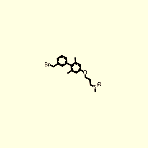 Cc1cc(OCCC[S+](C)[O-])cc(C)c1-c1cccc(CBr)c1